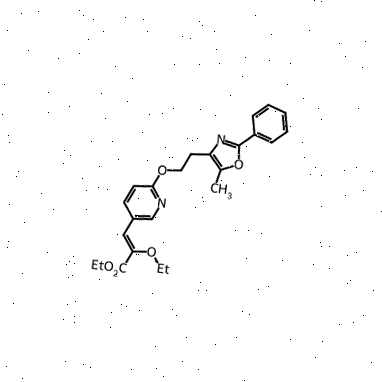 CCOC(=O)/C(=C/c1ccc(OCCc2nc(-c3ccccc3)oc2C)nc1)OCC